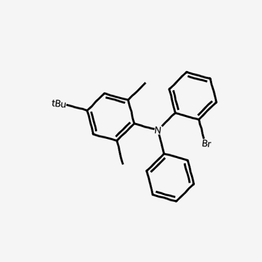 Cc1cc(C(C)(C)C)cc(C)c1N(c1ccccc1)c1ccccc1Br